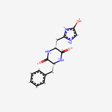 O=C1N[C@H](Cc2nc(O)c[nH]2)C(=O)N[C@@H]1Cc1ccccc1